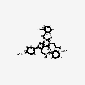 COCCCn1c(=O)c2c(CN(C)Cc3ccccc3)c(-c3ccc(OC)cc3)sc2n(Cc2ccccc2F)c1=O